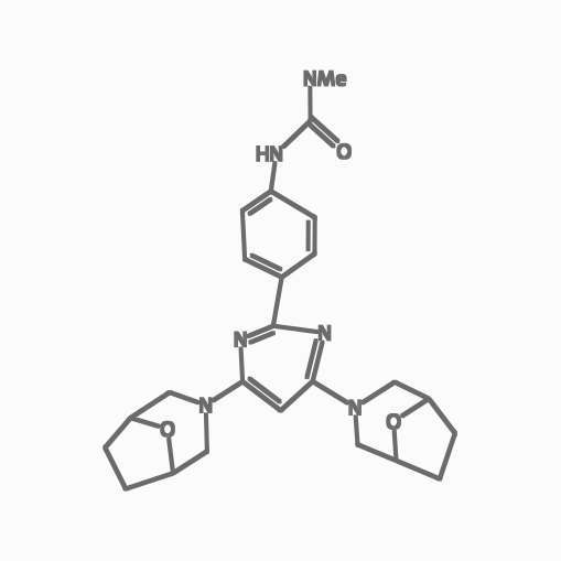 CNC(=O)Nc1ccc(-c2nc(N3CC4CCC(C3)O4)cc(N3CC4CCC(C3)O4)n2)cc1